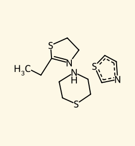 C1CSCCN1.CCC1=NCCS1.c1cscn1